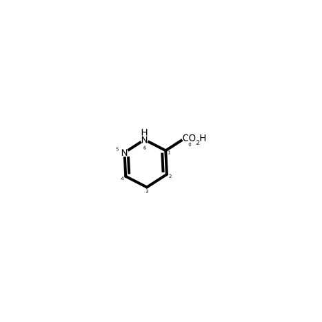 O=C(O)C1=CCC=NN1